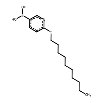 CCCCCCCCCCOc1ccc(B(O)O)cn1